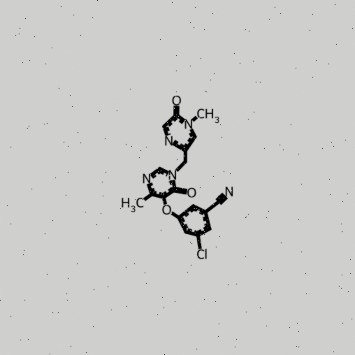 Cc1ncn(Cc2cn(C)c(=O)cn2)c(=O)c1Oc1cc(Cl)cc(C#N)c1